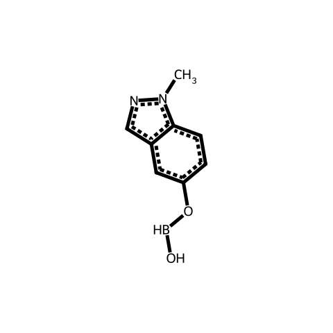 Cn1ncc2cc(OBO)ccc21